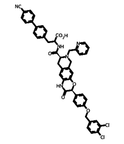 N#Cc1ccc(-c2ccc(CC(NC(=O)[C@@H]3Cc4cc5c(cc4CN3Cc3ccccn3)O[C@@H](c3ccc(OCc4ccc(Cl)c(Cl)c4)cc3)C(=O)N5)C(=O)O)cc2)cc1